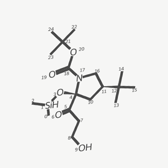 C[SiH](C)O[C@]1(C(=O)CCO)C[C@H](C(C)(C)C)CN1C(=O)OC(C)(C)C